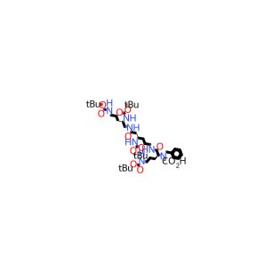 CC(C)(C)OC(=O)NCCC[C@@H](CNC(=O)C[C@H](CCCNC(=O)[C@H](CCCNC(=O)OC(C)(C)C)N(Cc1ccccc1)C(=O)O)NC(=O)OC(C)(C)C)NC(=O)OC(C)(C)C